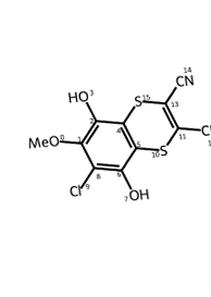 COc1c(O)c2c(c(O)c1Cl)SC(C#N)=C(C#N)S2